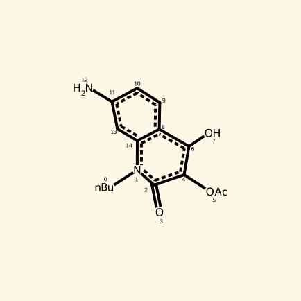 CCCCn1c(=O)c(OC(C)=O)c(O)c2ccc(N)cc21